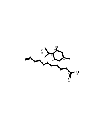 C=CCCCCCCCCC(=O)O.CC1CCC(C(C)C)C(O)C1.[Zn]